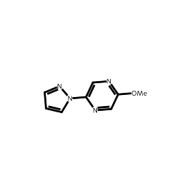 COc1cnc(-n2cccn2)cn1